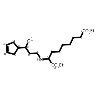 CCOC(=O)CCCCCCC(NCCC(O)C1CC=CC1)C(=O)OCC